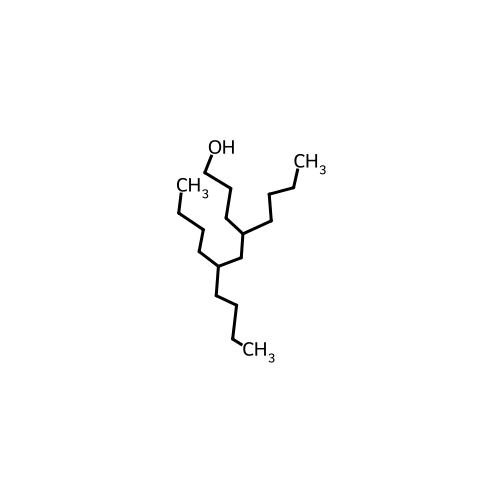 CCCCC(CCCC)CC(CCCC)CCCO